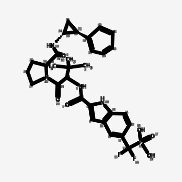 CC(C)(C)C(NC(=O)c1cc2cc(C(F)(F)P(=O)(O)O)ccc2[nH]1)C(=O)N1CCCC1C(=O)N[C@@H]1C[C@H]1c1ccccc1